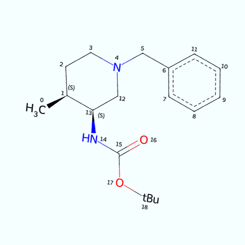 C[C@H]1CCN(Cc2ccccc2)C[C@H]1NC(=O)OC(C)(C)C